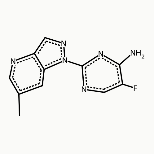 Cc1cnc2cnn(-c3ncc(F)c(N)n3)c2c1